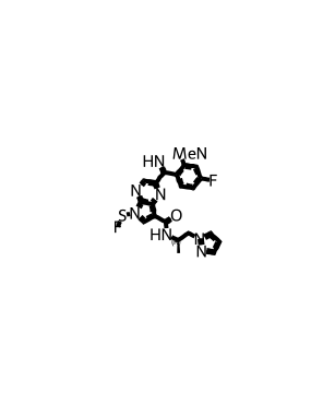 CNc1cc(F)ccc1C(=N)c1cnc2c(n1)c(C(=O)N[C@H](C)Cn1cccn1)cn2SF